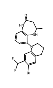 CC1CC(=O)Nc2cccc(N3CCCc4cc(Br)c(C(F)F)cc43)c2N1